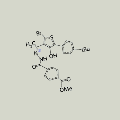 COC(=O)c1ccc(C(=O)N/N=C(/C)c2c(Br)sc(-c3ccc(C(C)(C)C)cc3)c2O)cc1